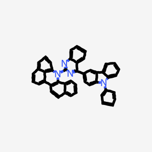 c1ccc(-n2c3ccccc3c3cc(-c4nc(N5c6c(ccc7ccccc67)-c6cccc7cccc5c67)nc5ccccc45)ccc32)cc1